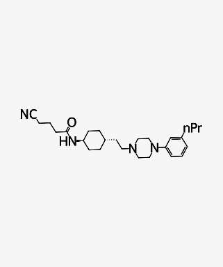 CCCc1cccc(N2CCN(CC[C@H]3CC[C@H](NC(=O)CCCC#N)CC3)CC2)c1